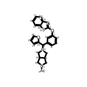 CC(=O)N1CC2CN(C(c3cccc(Oc4nc5ncccc5s4)c3)c3ccco3)CC2C1